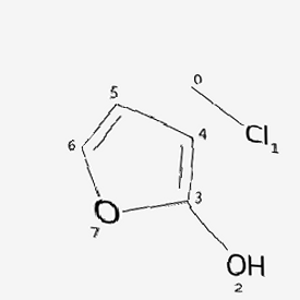 CCl.Oc1ccco1